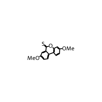 COc1ccc2c(c1)oc(=S)c1cc(OC)ccc12